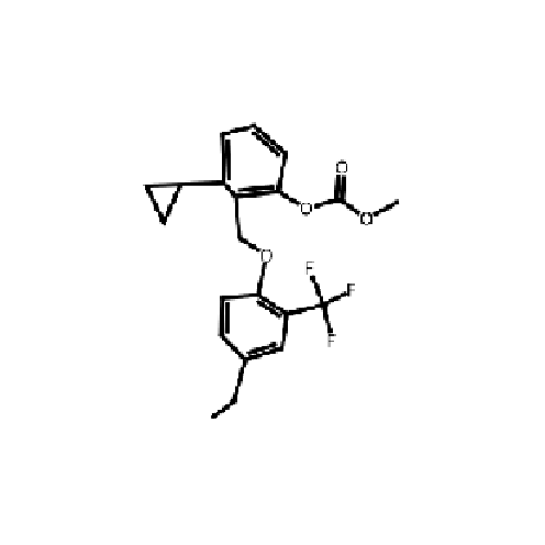 CCc1ccc(OCc2c(OC(=O)OC)cccc2C2CC2)c(C(F)(F)F)c1